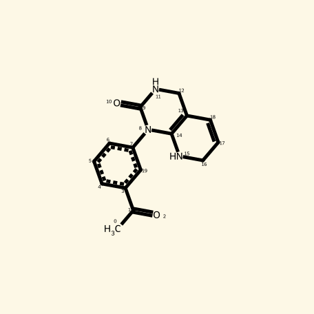 CC(=O)c1cccc(N2C(=O)NCC3=C2NCC=C3)c1